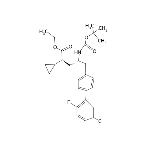 CCOC(=O)[C@@H](C[C@@H](Cc1ccc(-c2cc(Cl)ccc2F)cc1)NC(=O)OC(C)(C)C)C1CC1